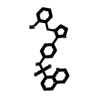 N#Cc1ccccc1Cn1ccnc1-c1ccc(NS(=O)(=O)c2cccc3cccnc23)cc1